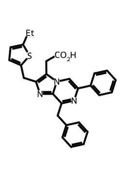 CCc1ccc(Cc2nc3c(Cc4ccccc4)nc(-c4ccccc4)cn3c2CC(=O)O)s1